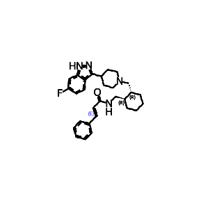 O=C(/C=C/c1ccccc1)NC[C@@H]1CCCC[C@H]1CN1CCC(c2n[nH]c3cc(F)ccc23)CC1